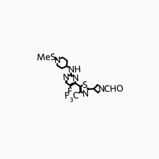 CSN1CCC(Nc2ncc(F)c(-c3sc(C4CN(C=O)C4)nc3C(F)(F)F)n2)CC1